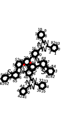 c1ccc(-c2nc(-c3ccccc3)nc(-c3ccc(-c4cccc(-c5ccc(-c6nc(-c7ccccc7)nc(-c7ccccc7)n6)cc5-n5c6ccccc6c6c7sc8ccccc8c7ccc65)c4)c(-n4c5ccccc5c5c6sc7ccccc7c6ccc54)c3)n2)cc1